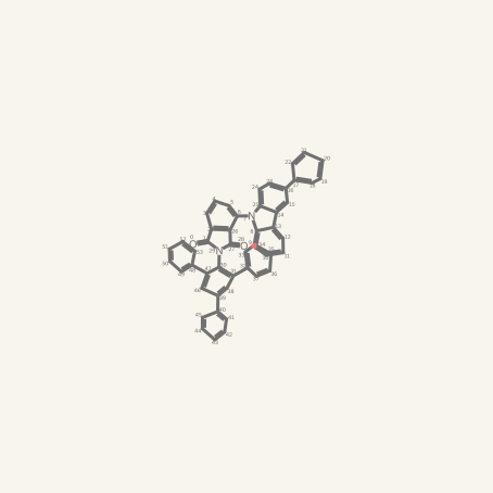 O=C1c2cccc(-n3c4ccccc4c4cc(-c5ccccc5)ccc43)c2C(=O)N1c1c(-c2ccccc2)cc(-c2ccccc2)cc1-c1ccccc1